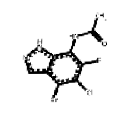 CC(=O)Nc1c(F)c(Cl)c(Br)c2cn[nH]c12